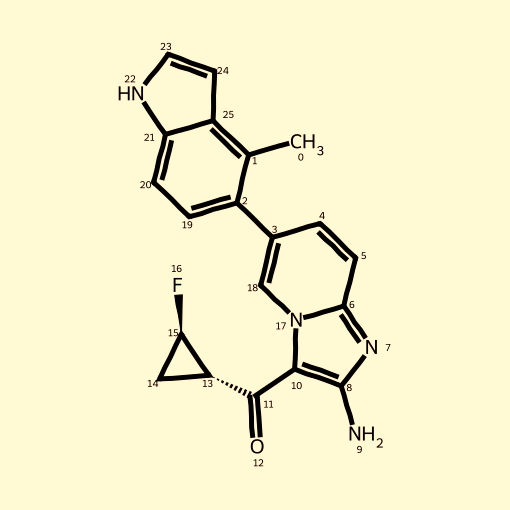 Cc1c(-c2ccc3nc(N)c(C(=O)[C@@H]4C[C@H]4F)n3c2)ccc2[nH]ccc12